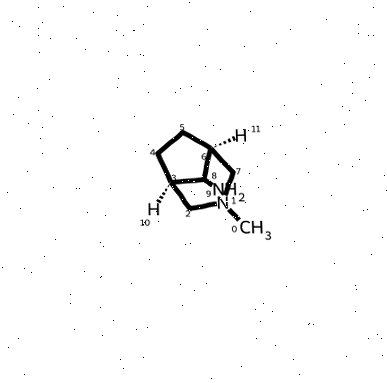 CN1C[C@H]2CC[C@@H](C1)C2N